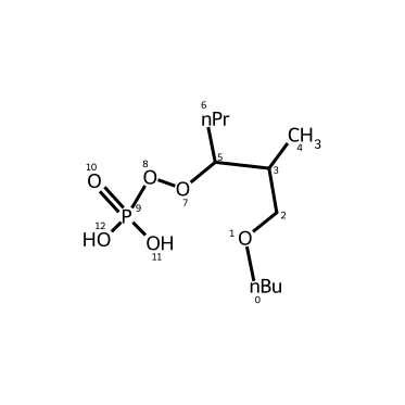 CCCCOCC(C)C(CCC)OOP(=O)(O)O